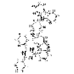 c1ccc(-c2nc(-c3ccccc3)nc(-c3cccc4sc5cc6c(cc5c34)sc3ccc(-n4c5ccccc5c5ccccc54)cc36)n2)cc1